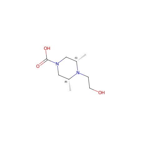 C[C@@H]1CN(C(=O)O)C[C@H](C)N1CCO